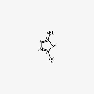 CCc1cnc(C(C)=O)s1